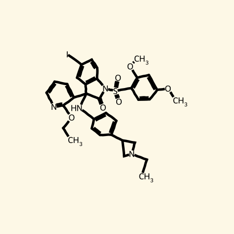 CCOc1ncccc1C1(Nc2ccc(C3CN(CC)C3)cc2)C(=O)N(S(=O)(=O)c2ccc(OC)cc2OC)c2ccc(I)cc21